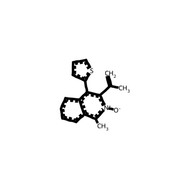 C=C(C)c1c(-c2cccs2)c2ccccc2c(C)[n+]1[O-]